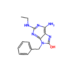 CCNc1nc(N)c2nc(O)n(Cc3ccccc3)c2n1